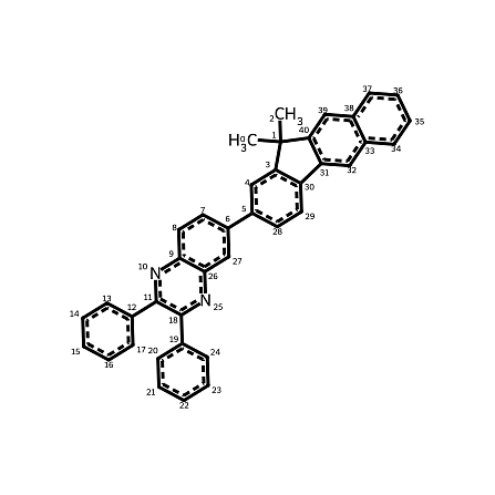 CC1(C)c2cc(-c3ccc4nc(-c5ccccc5)c(-c5ccccc5)nc4c3)ccc2-c2cc3ccccc3cc21